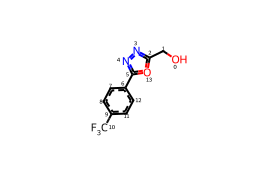 OCc1nnc(-c2ccc(C(F)(F)F)cc2)o1